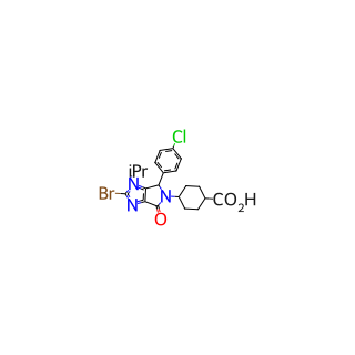 CC(C)n1c(Br)nc2c1C(c1ccc(Cl)cc1)N(C1CCC(C(=O)O)CC1)C2=O